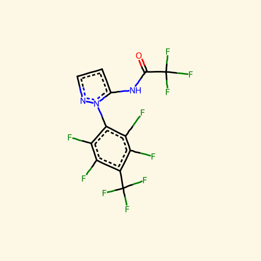 O=C(Nc1ccnn1-c1c(F)c(F)c(C(F)(F)F)c(F)c1F)C(F)(F)F